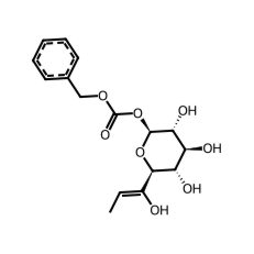 CC=C(O)[C@H]1O[C@@H](OC(=O)OCc2ccccc2)[C@H](O)[C@@H](O)[C@@H]1O